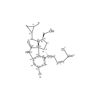 C=C(Cl)/C=C\C=C(/F)[C@H]1C[C@H](CO)N(CC2CC2C)[C@@]12C(=O)Nc1cc(Cl)ccc12